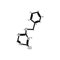 Clc1ncnc(OCc2ccccc2)n1